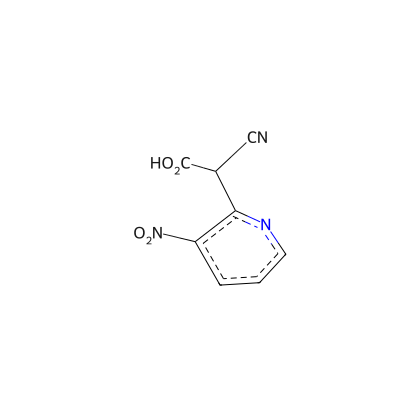 N#CC(C(=O)O)c1ncccc1[N+](=O)[O-]